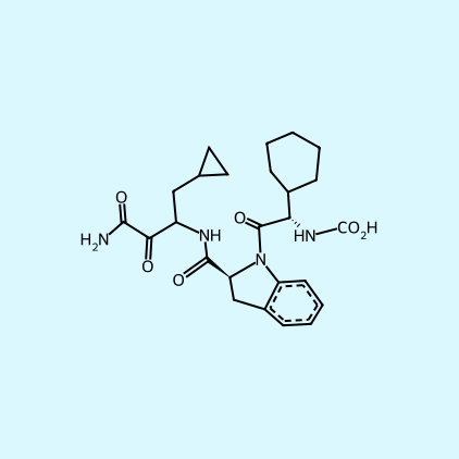 NC(=O)C(=O)C(CC1CC1)NC(=O)[C@@H]1Cc2ccccc2N1C(=O)[C@@H](NC(=O)O)C1CCCCC1